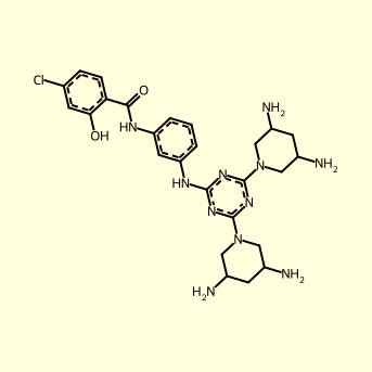 NC1CC(N)CN(c2nc(Nc3cccc(NC(=O)c4ccc(Cl)cc4O)c3)nc(N3CC(N)CC(N)C3)n2)C1